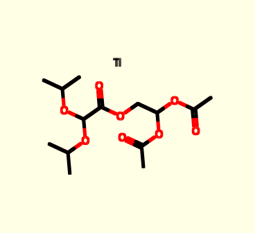 CC(=O)OC(COC(=O)C(OC(C)C)OC(C)C)OC(C)=O.[Ti]